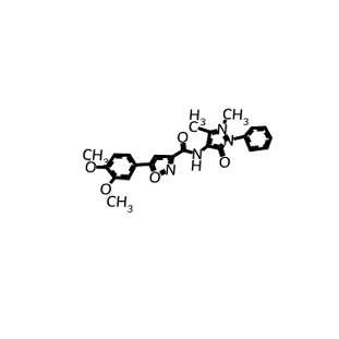 COc1ccc(-c2cc(C(=O)Nc3c(C)n(C)n(-c4ccccc4)c3=O)no2)cc1OC